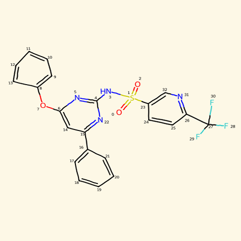 O=S(=O)(Nc1nc(Oc2ccccc2)cc(-c2ccccc2)n1)c1ccc(C(F)(F)F)nc1